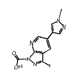 Cn1cc(-c2cnc3c(c2)c(I)nn3C(=O)O)cn1